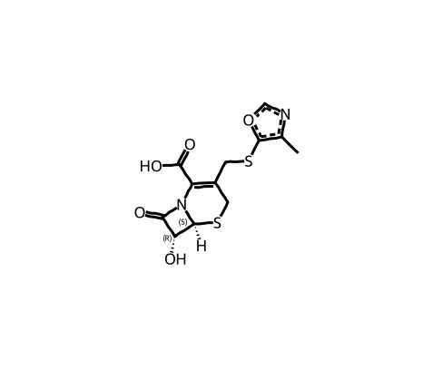 Cc1ncoc1SCC1=C(C(=O)O)N2C(=O)[C@@H](O)[C@@H]2SC1